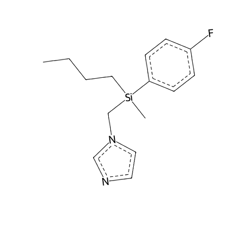 CCCC[Si](C)(Cn1ccnc1)c1ccc(F)cc1